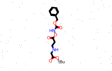 CC(C)(C)OC(=O)CNCCC(=O)ONC(=O)OCc1ccccc1